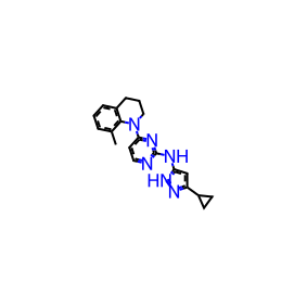 Cc1cccc2c1N(c1ccnc(Nc3cc(C4CC4)n[nH]3)n1)CCC2